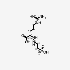 N=C(N)NCCC[C@H](NNCCS(=O)(=O)O)C(=O)O